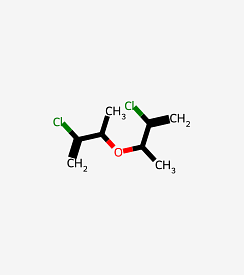 C=C(Cl)C(C)OC(C)C(=C)Cl